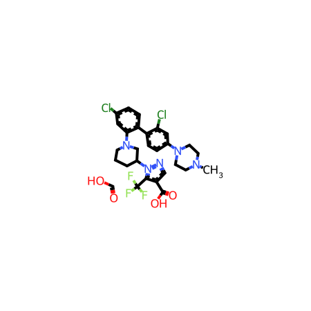 CN1CCN(c2ccc(-c3ccc(Cl)cc3N3CCCC(n4ncc(C(=O)O)c4C(F)(F)F)C3)c(Cl)c2)CC1.O=CO